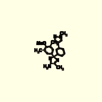 COc1c(C)cc(C2(c3cccc(-c4cnn(C)c4)c3)N=C(C)C(N)=N2)cc1C